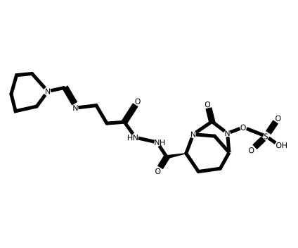 O=C(CC/N=C/N1CCCCC1)NNC(=O)[C@@H]1CCC2CN1C(=O)N2OS(=O)(=O)O